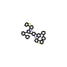 c1ccc(-c2ccccc2-c2cc3c4cc5c(cc4n4c6ccc7sc8ccccc8c7c6c(c2)c34)c2cc(-c3ccccc3-c3ccccc3)cc3c4c6c(ccc4n5c23)sc2ccccc26)cc1